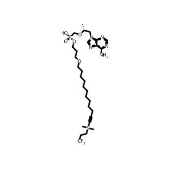 C[C@H](Cn1cnc2c(N)ncnc21)OCP(=O)(O)OCCCOCCCCCCCCCCC#C[Si](C)(C)CCC(F)(F)F